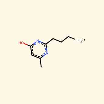 CCOC(=O)CCCc1nc(C)cc(O)n1